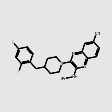 CC(C)Nc1nc2ccc(C#N)cc2nc1N1CCC(Cc2ccc(F)cc2F)CC1